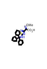 CO/N=C(\C(=O)O)c1nsc(NC(c2ccccc2)(c2ccccc2)c2ccccc2)n1